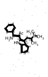 CC(=O)C(=C(N)c1ccccc1)c1[nH]c2ccccc2c1CC(C)N(C)C